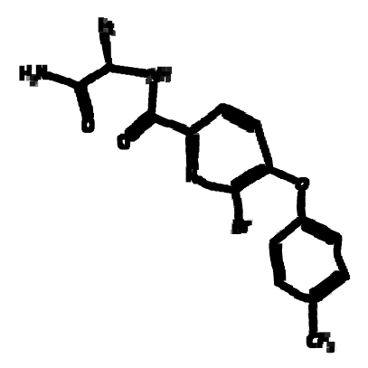 CC[C@@H](NC(=O)c1ccc(Oc2ccc(C(F)(F)F)cc2)c(Br)n1)C(N)=O